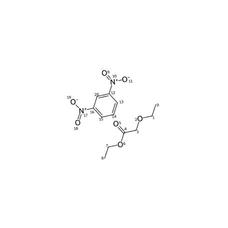 CCOCC(=O)OCC.O=[N+]([O-])c1cccc([N+](=O)[O-])c1